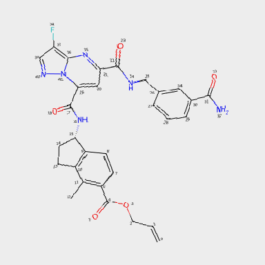 C=CCOC(=O)c1ccc2c(c1C)CC[C@@H]2NC(=O)c1cc(C(=O)NCc2cccc(C(N)=O)c2)nc2c(F)cnn12